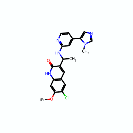 CC(C)Oc1cc2[nH]c(=O)c(C(C)Nc3cc(-c4cncn4C)ccn3)cc2cc1Cl